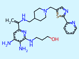 C=C(NCC1CCN(Cc2cnc(-c3ccccn3)s2)CC1)c1cc(N)c(N)c(NCCCO)n1